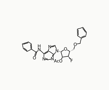 CC(=O)O[C@@H]1[C@H](F)[C@@H](COCc2ccccc2)O[C@H]1n1cnc2c(NC(=O)c3ccccc3)ncnc21